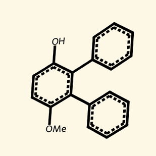 COc1ccc(O)c(-c2ccccc2)c1-c1ccccc1